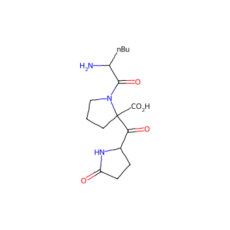 CCCCC(N)C(=O)N1CCCC1(C(=O)O)C(=O)C1CCC(=O)N1